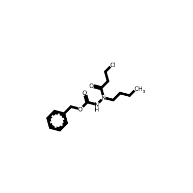 CCCCN(NC(=O)OCc1ccccc1)C(=O)CCCl